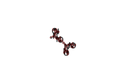 Cc1cccc(N(c2ccc3cc4c5cc(-c6ccc(-c7ccc8oc9c(N(c%10ccc%11cc%12c%13cc(-c%14ccccc%14)cc%14c%15cc%16ccc(N(c%17ccccc%17C)c%17cccc%18c%17oc%17ccccc%17%18)cc%16cc%15n(c%12cc%11c%10)c%14%13)c%10ccccc%10C)cccc9c8c7)cc6)cc6c7cc8ccc(N(c9cccc(C)c9)c9cccc%10c9oc9ccccc9%10)cc8cc7n(c4cc3c2)c56)c2cccc3c2oc2ccccc23)c1